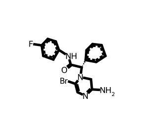 NC1=NC=C(Br)N([C@H](C(=O)Nc2ccc(F)cc2)c2ccccc2)C1